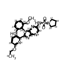 CCOC1=NC(c2nc3ncc(NS(=O)(=O)N4CCCC4)nc3n2-c2c(O)cccc2OC)=C=C=C1